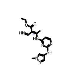 CCOC(=O)/C(C=N)=C(\C)Nc1ccnc(Nc2cnn(C)c2)n1